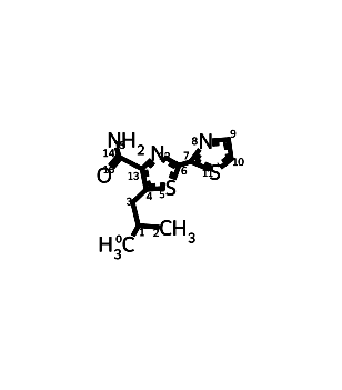 CC(C)Cc1sc(-c2nccs2)nc1C(N)=O